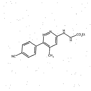 CCOC(=O)NNc1cc(C)c(-c2ccc(C#N)cc2)nn1